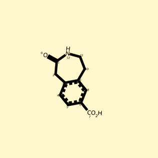 O=C1Cc2ccc(C(=O)O)cc2CCN1